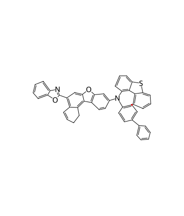 C1=Cc2c(-c3nc4ccccc4o3)cc3oc4cc(N(c5ccc(-c6ccccc6)cc5)c5cccc6sc7ccccc7c56)ccc4c3c2CC1